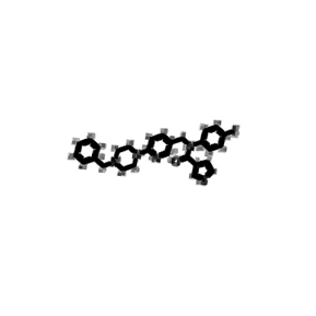 O=C(c1ccsc1)N(Cc1ccc(N2CCN(Cc3ccccc3)CC2)nc1)c1ccc(F)cc1